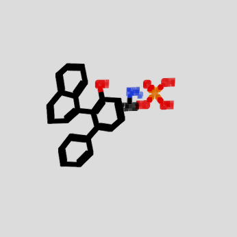 NC=O.O=P(O)(O)O.Oc1cccc(-c2ccccc2)c1-c1cccc2ccccc12